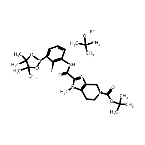 CC(C)(C)[O-].Cn1c(C(=O)Nc2cccc(B3OC(C)(C)C(C)(C)O3)c2Cl)nc2c1CCN(C(=O)OC(C)(C)C)C2.[K+]